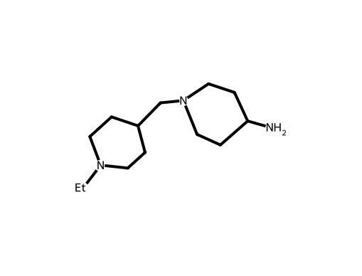 CCN1CCC(CN2CCC(N)CC2)CC1